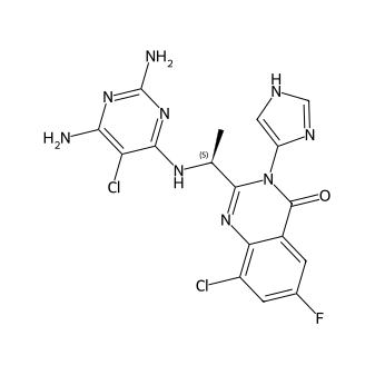 C[C@H](Nc1nc(N)nc(N)c1Cl)c1nc2c(Cl)cc(F)cc2c(=O)n1-c1c[nH]cn1